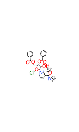 C[Si](C)(C)/N=C(\O[Si](C)(C)C)c1ccc[n+]([C@@H]2O[C@H](COC(=O)c3ccccc3)[C@@H](OC(=O)c3ccccc3)[C@H]2O)c1.[Cl-]